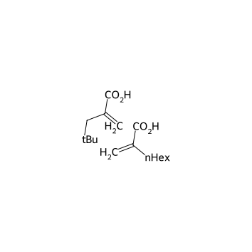 C=C(CC(C)(C)C)C(=O)O.C=C(CCCCCC)C(=O)O